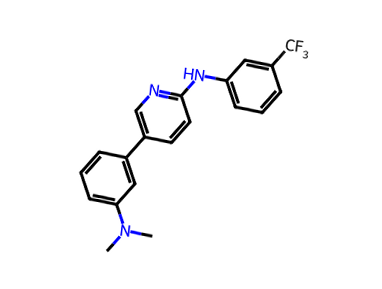 CN(C)c1cccc(-c2ccc(Nc3cccc(C(F)(F)F)c3)nc2)c1